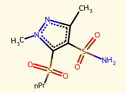 CCCS(=O)(=O)c1c(S(N)(=O)=O)c(C)nn1C